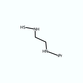 CC(C)NCCNS